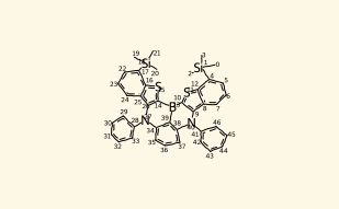 C[Si](C)(C)c1cccc2c3c(sc12)B1c2sc4c([Si](C)(C)C)cccc4c2N(c2ccccc2)c2cccc(c21)N3c1ccccc1